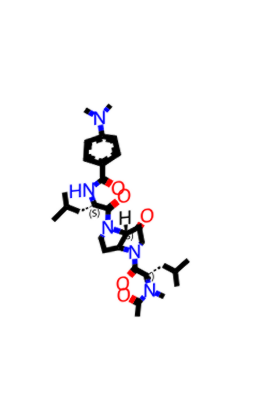 CC(=O)N(C)[C@@H](CC(C)C)C(=O)N1CC(=O)[C@@H]2C1CCN2C(=O)[C@H](CC(C)C)NC(=O)c1ccc(N(C)C)cc1